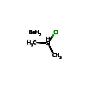 C[SiH](C)Cl.[BeH2]